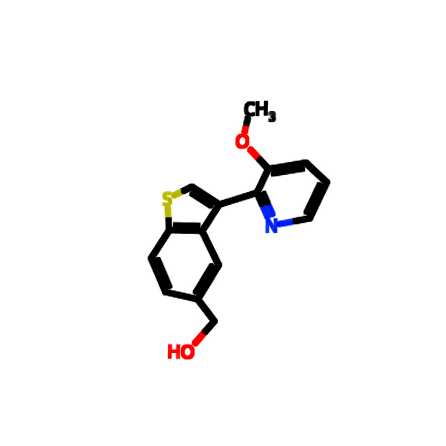 COc1cccnc1-c1csc2ccc(CO)cc12